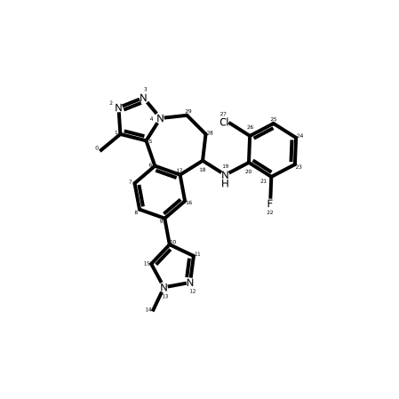 Cc1nnn2c1-c1ccc(-c3cnn(C)c3)cc1C(Nc1c(F)cccc1Cl)CC2